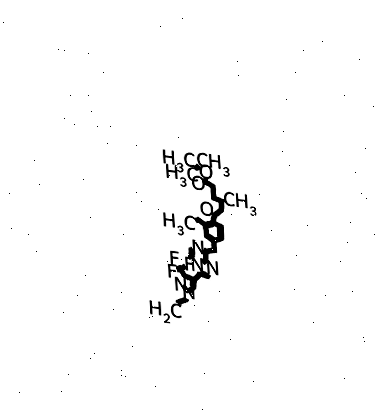 C=CCn1cc(-c2cnc3c(Cc4ccc(C(=O)C[C@H](C)CCC(=O)OC(C)(C)C)c(CC)c4)nccn23)c(C(F)(F)F)n1